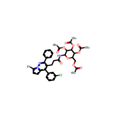 CCc1ccc2c(-c3cccc(Cl)c3)c(CCC(=O)NC3OC(COC(=O)C(C)(C)C)C(OC(=O)C(C)(C)C)C(OC(=O)C(C)(C)C)C3OC(=O)C(C)(C)C)c(-c3ccccc3)nn12